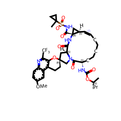 COc1ccc2nc(C(F)(F)F)c3c(c2c1)CC[C@]1(C[C@H]2C(=O)N[C@]4(C(=O)NS(=O)(=O)C5(C)CC5)C[C@H]4/C=C\CCCCC[C@H](NC(=O)O[C@@H](C)C(C)C)C(=O)N2C1)O3